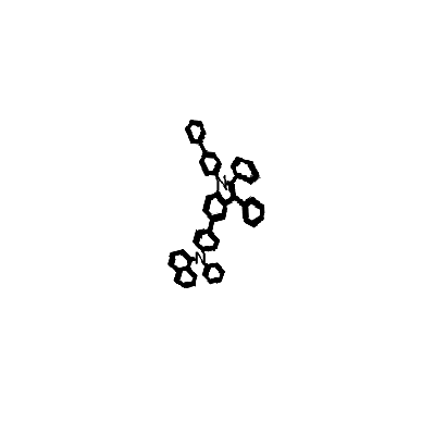 c1ccc(-c2ccc(-n3c(-c4ccccc4)c(-c4ccccc4)c4cc(-c5ccc(N(c6ccccc6)c6cccc7ccccc67)cc5)ccc43)cc2)cc1